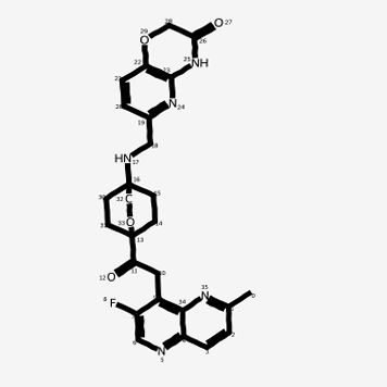 Cc1ccc2ncc(F)c(CC(=O)C34CCC(NCc5ccc6c(n5)NC(=O)CO6)(CC3)CO4)c2n1